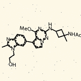 COc1nc(NC2CC(C)(NC(C)=O)C2)nn2ccc(-c3ccc4nc(C)n(CCO)c4c3)c12